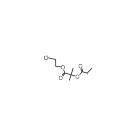 C[CH]C(=O)OC(C)(C)C(=O)OCCCl